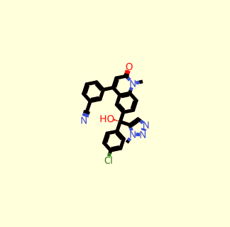 Cn1nncc1[C@@](O)(c1ccc(Cl)cc1)c1ccc2c(c1)c(-c1cccc(C#N)c1)cc(=O)n2C